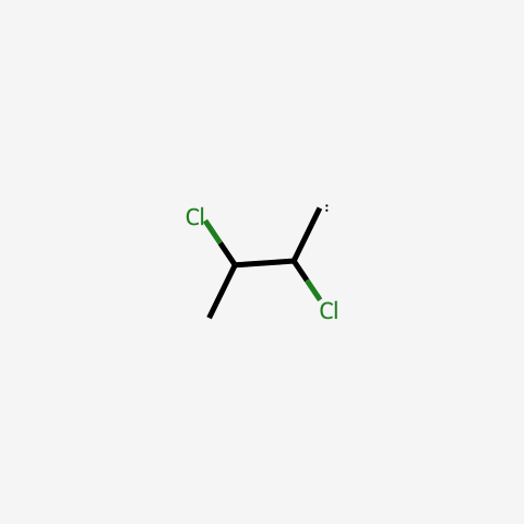 [CH]C(Cl)C(C)Cl